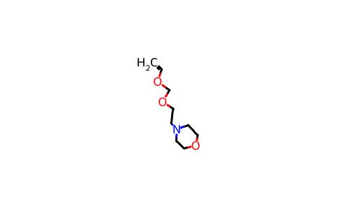 C=COCOCCN1CCOCC1